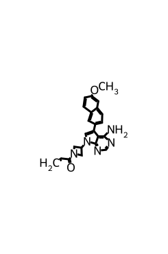 C=CC(=O)N1CC(n2cc(-c3ccc4cc(OC)ccc4c3)c3c(N)ncnc32)C1